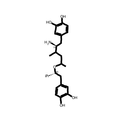 CC(CC(C)[C@@H](N)Cc1ccc(O)c(O)c1)O[C@H](Cc1ccc(O)c(O)c1)C(C)C